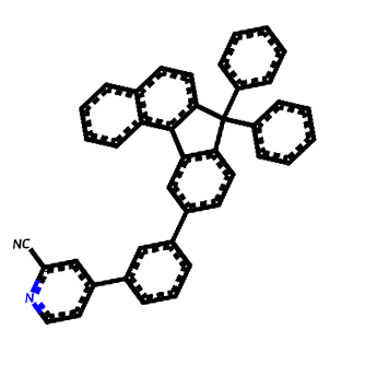 N#Cc1cc(-c2cccc(-c3ccc4c(c3)-c3c(ccc5ccccc35)C4(c3ccccc3)c3ccccc3)c2)ccn1